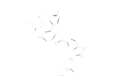 CCN1CCN(c2nn(C)c3ccc(-c4nc5cc(C)c(C(OC(C)(C)C)C(=O)O)c(-c6ccc(Cl)cc6)c5s4)cc23)CC1=O